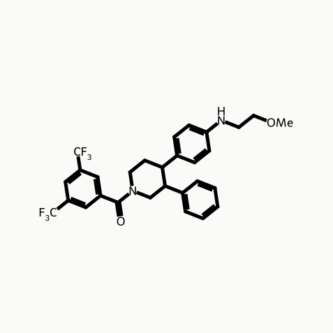 COCCNc1ccc(C2CCN(C(=O)c3cc(C(F)(F)F)cc(C(F)(F)F)c3)CC2c2ccccc2)cc1